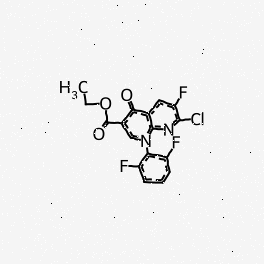 CCOC(=O)c1cn(-c2c(F)cccc2F)c2nc(Cl)c(F)cc2c1=O